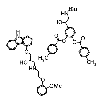 COc1ccccc1OCCNCC(O)COc1cccc2[nH]c3ccccc3c12.Cc1ccc(C(=O)Oc2ccc(C(O)CNC(C)(C)C)cc2OC(=O)c2ccc(C)cc2)cc1